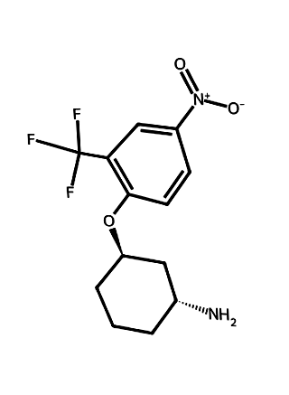 N[C@@H]1CCC[C@@H](Oc2ccc([N+](=O)[O-])cc2C(F)(F)F)C1